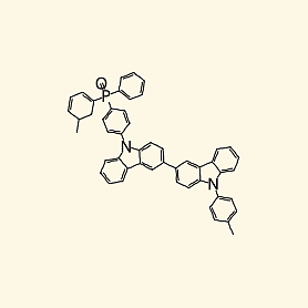 Cc1ccc(-n2c3ccccc3c3cc(-c4ccc5c(c4)c4ccccc4n5-c4ccc(P(=O)(C5=CC=CC(C)C5)c5ccccc5)cc4)ccc32)cc1